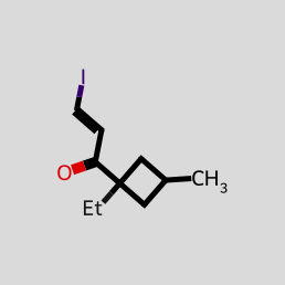 CCC1(C(=O)/C=C/I)CC(C)C1